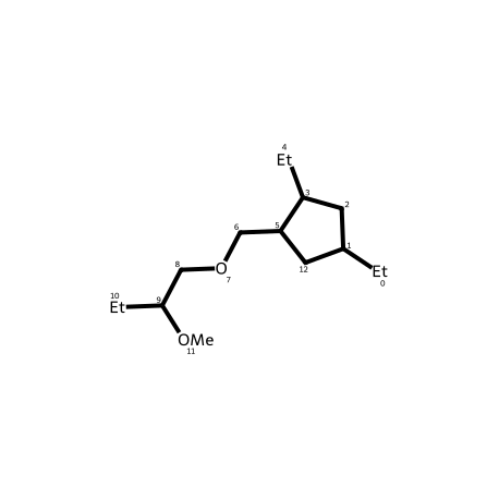 CCC1CC(CC)C(COCC(CC)OC)C1